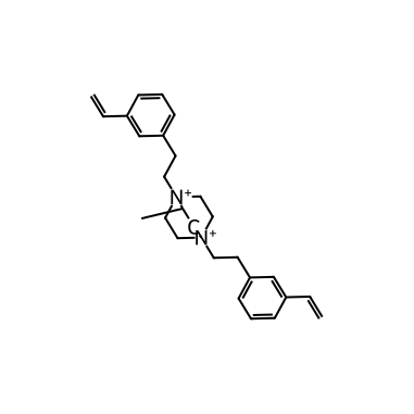 C=Cc1cccc(CC[N+]23CC[N+](CCc4cccc(C=C)c4)(CC2)C(C)C3)c1